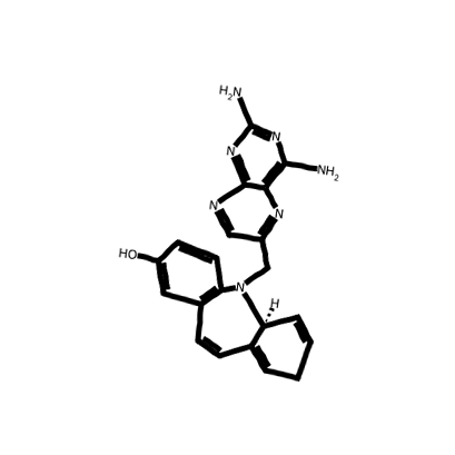 Nc1nc(N)c2nc(CN3c4ccc(O)cc4C=CC4=CCC=C[C@@H]43)cnc2n1